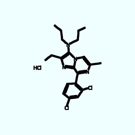 CCCN(CCC)c1c(CC)nc2c(-c3ccc(Cl)cc3Cl)nc(C)cn12.Cl